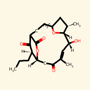 CCC[C@H]1C(=O)C2CC[C@@]3(C)C[C@H](C)[C@@H](O3)[C@H](O)/C=C(\C)C(=O)C[C@H]1OC2=O